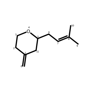 C=C1CCOC(CC=C(C)C)C1